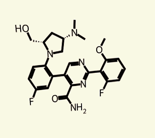 COc1cccc(F)c1-c1ncc(-c2cc(F)ccc2N2C[C@@H](N(C)C)C[C@H]2CO)c(C(N)=O)n1